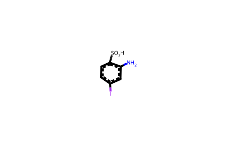 Nc1cc(I)ccc1S(=O)(=O)O